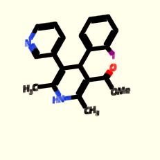 COC(=O)C1=C(C)NC(C)=C(c2cccnc2)C1c1ccccc1I